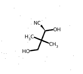 CC(C)(CO)[C@H](O)C#N